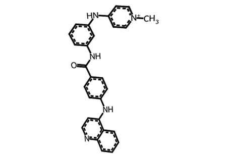 C[n+]1ccc(Nc2cccc(NC(=O)c3ccc(Nc4ccnc5ccccc45)cc3)c2)cc1